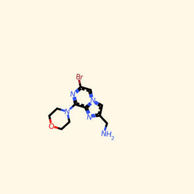 NCc1cn2cc(Br)nc(N3CCOCC3)c2n1